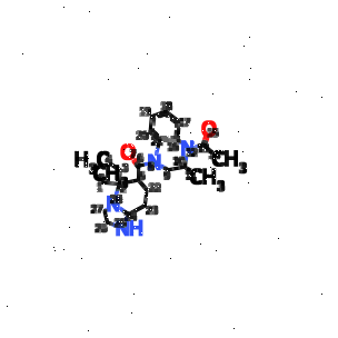 CCC1(CC)C(C(=O)N2C[C@H](C)N(C(C)=O)c3ccccc32)CCC2NCCN21